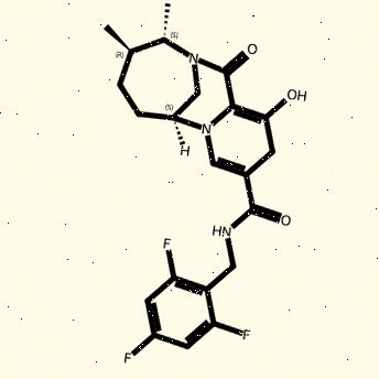 C[C@@H]1CC[C@H]2CN(C(=O)C3=C(O)CC(C(=O)NCc4c(F)cc(F)cc4F)=CN32)[C@H]1C